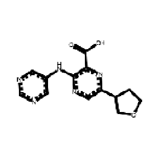 O=C(O)c1nc(C2CCOC2)cnc1Nc1cncnc1